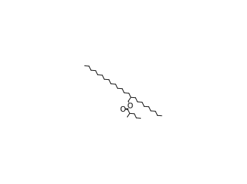 CCCCCCCCCCCCCCC(CCCCCCCCC)COC(=O)C(C)CCC